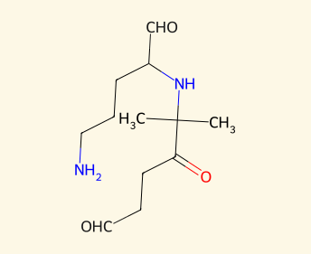 CC(C)(NC(C=O)CCCN)C(=O)CCC=O